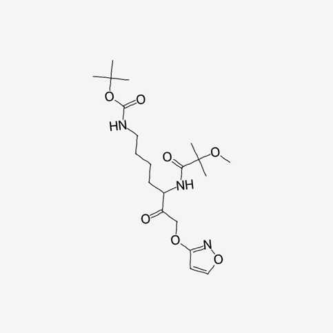 COC(C)(C)C(=O)NC(CCCCNC(=O)OC(C)(C)C)C(=O)COc1ccon1